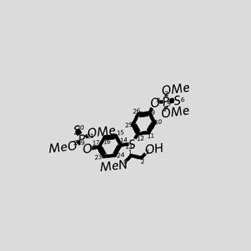 CNCCO.COP(=S)(OC)Oc1ccc(Sc2ccc(OP(=S)(OC)OC)cc2)cc1